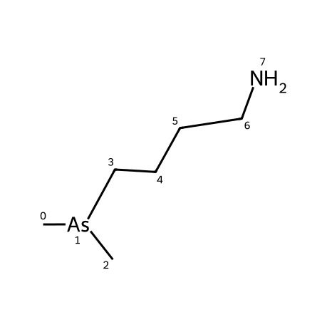 C[As](C)CCCCN